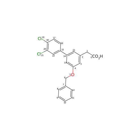 O=C(O)Cc1cc(OCc2ccccc2)cc(-c2ccc(Cl)c(Cl)c2)c1